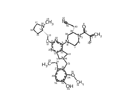 C=C(F)C(=O)N1CCN(c2nc(OC[C@@H]3CCCN3C)nc3c2CN(Cc2c(CC)ccc(O)c2OC)C3)C[C@@H]1CC#N